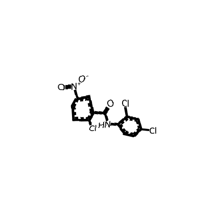 O=C(Nc1ccc(Cl)cc1Cl)c1cc([N+](=O)[O-])ccc1Cl